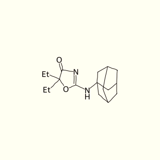 CCC1(CC)OC(NC23CC4CC(CC(C4)C2)C3)=NC1=O